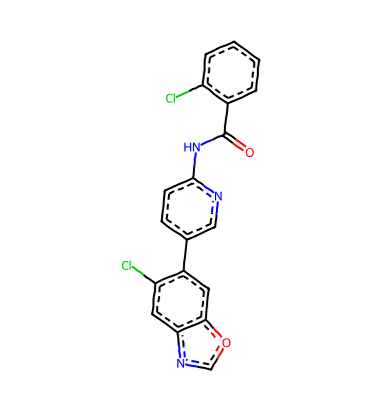 O=C(Nc1ccc(-c2cc3ocnc3cc2Cl)cn1)c1ccccc1Cl